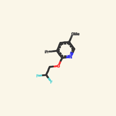 COc1cnc(OCC(F)F)c(C(C)C)c1